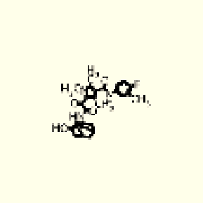 Cc1cc(NC(=O)c2c(C)c(C(=O)C(=O)NC34CC5CC(CC(O)(C5)C3)C4)n(C)c2C)ccc1F